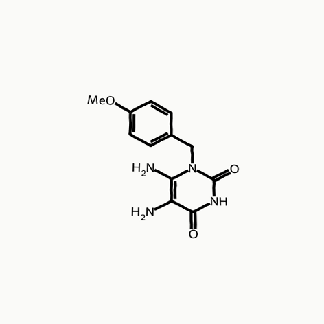 COc1ccc(Cn2c(N)c(N)c(=O)[nH]c2=O)cc1